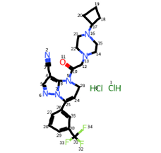 Cl.Cl.N#Cc1cnn2c1N(C(=O)CN1CCN(C3CCC3)CC1)CC=C2c1cccc(C(F)(F)F)c1